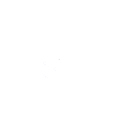 C[S+](C)CCOc1ccccc1OCC(O)CO.O=[N+]([O-])c1cc([N+](=O)[O-])c(S(=O)(=O)[O-])c([N+](=O)[O-])c1